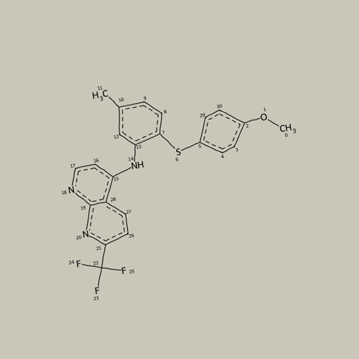 COc1ccc(Sc2ccc(C)cc2Nc2ccnc3nc(C(F)(F)F)ccc23)cc1